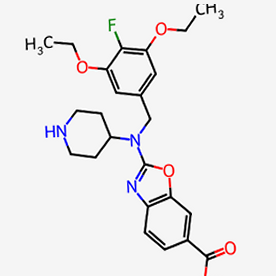 CCOc1cc(CN(c2nc3ccc(C(=O)O)cc3o2)C2CCNCC2)cc(OCC)c1F